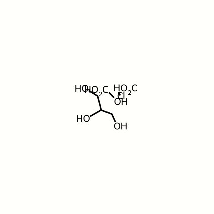 O=C(O)Cl.O=C(O)O.OCC(O)CO